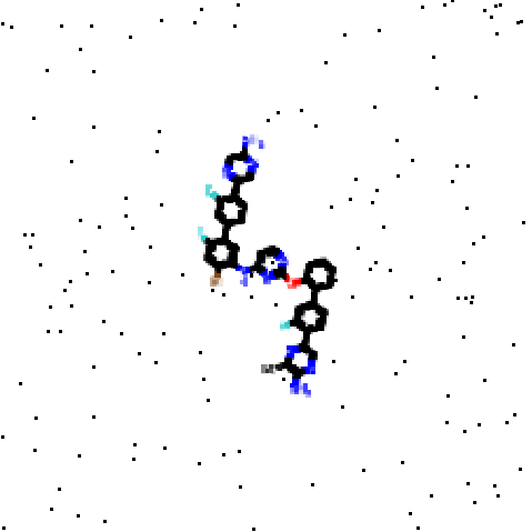 N#Cc1nc(-c2ccc(-c3ccccc3Oc3nccc(Nc4cc(-c5ccc(-c6cnc(N)cn6)c(F)c5)c(F)cc4Br)n3)cc2F)cnc1N